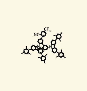 Cc1cc(C)c(-c2ccc3c(c2)c2cc(-c4c(C)cc(C)cc4C)ccc2n3-c2ccc(C#N)c(-c3cc(-c4ccc(C(F)(F)F)cc4C#N)ccc3-n3c4ccc(-c5c(C)cc(C)cc5C)cc4c4cc(-c5c(C)cc(C)cc5C)ccc43)c2)c(C)c1